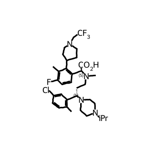 Cc1ccc(Cl)cc1[C@H](CCN(C)[C@H](C(=O)O)c1ccc(F)c(C)c1C1CCN(CC(F)(F)F)CC1)N1CCN(C(C)C)CC1